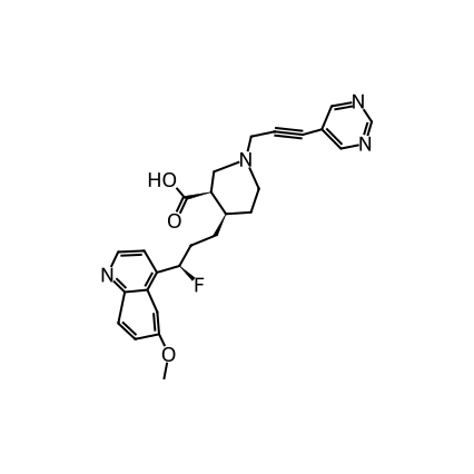 COc1ccc2nccc([C@H](F)CC[C@@H]3CCN(CC#Cc4cncnc4)C[C@@H]3C(=O)O)c2c1